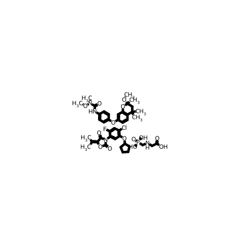 CC(C)=C1OC(=O)N(c2cc(OC3CCCC3)c(Cl)cc2F)C1=O.CON(C)C(=O)Nc1ccc(Oc2ccc3c(c2)OC(C)(OC)CC3(C)C)cc1.O=C(O)CNCP(=O)(O)O